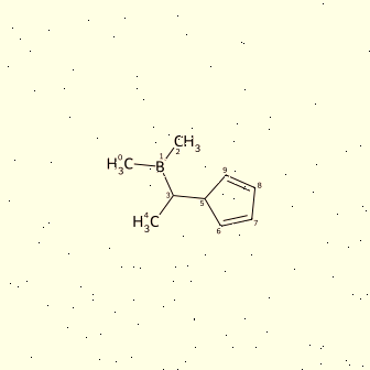 CB(C)C(C)C1C=CC=C1